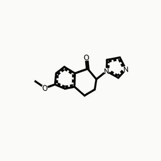 COc1ccc2c(c1)CCC(n1ccnc1)C2=O